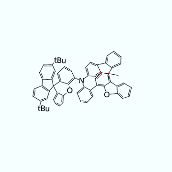 CC(C)(C)c1ccc2c(c1)C1(c3ccccc3Oc3c(N(c4ccc5c(c4)C(C)(C)c4ccccc4-5)c4ccccc4-c4cccc5c4oc4ccccc45)cccc31)c1cc(C(C)(C)C)ccc1-2